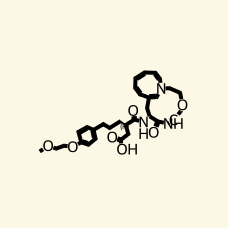 COCCOc1ccc(CCC[C@H](CC(=O)O)C(=O)NC2Cc3ccccccn(c3)CCOCCNC2=O)cc1